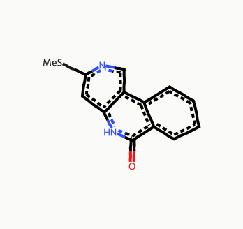 CSc1cc2[nH]c(=O)c3ccccc3c2cn1